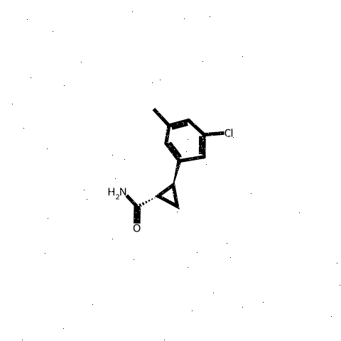 Cc1cc(Cl)cc([C@H]2C[C@@H]2C(N)=O)c1